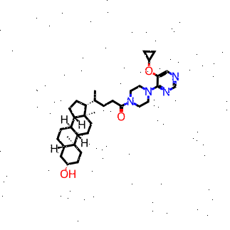 CC(CCC(=O)N1CCN(c2ncncc2OC2CC2)CC1)[C@H]1CC[C@H]2[C@@H]3CC[C@H]4C[C@@H](O)CC[C@]4(C)[C@H]3CC[C@]12C